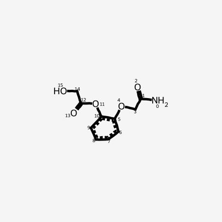 NC(=O)COc1ccccc1OC(=O)CO